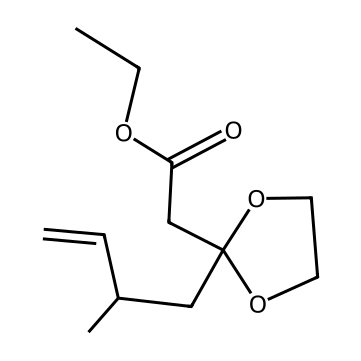 C=CC(C)CC1(CC(=O)OCC)OCCO1